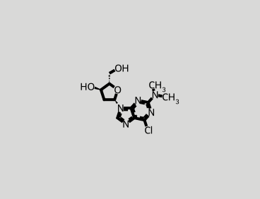 CN(C)c1nc(Cl)c2ncn([C@@H]3C[C@@H](O)[C@H](CO)O3)c2n1